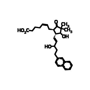 CC1(C)C(=O)[C@H](C/C=C\CCCC(=O)O)[C@@H](/C=C/C(O)CCc2ccc3ccccc3c2)[C@@H]1O